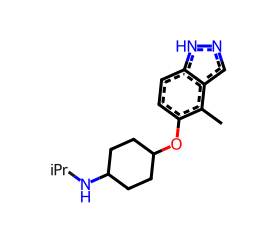 Cc1c(OC2CCC(NC(C)C)CC2)ccc2[nH]ncc12